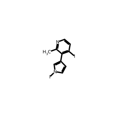 Cc1nccc(I)c1-c1ccn(I)c1